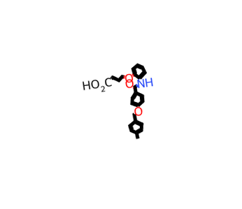 Cc1ccc(COc2ccc(C(=O)Nc3ccccc3OCCCC(=O)O)cc2)cc1